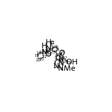 CNc1ncc2cc(-c3ccc(F)c(NC(=O)NC4CCCCC4)c3)c(=O)n(CCO)c2n1